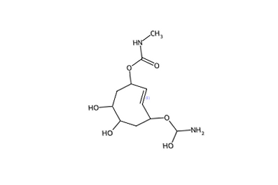 CNC(=O)OC1/C=C/C(OC(N)O)CC(O)C(O)C1